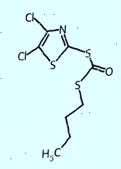 CCCCSC(=O)Sc1nc(Cl)c(Cl)s1